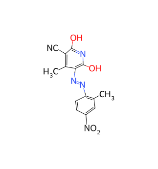 Cc1cc([N+](=O)[O-])ccc1N=Nc1c(O)nc(O)c(C#N)c1C